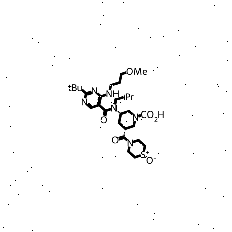 COCCCNc1nc(C(C)(C)C)ncc1C(=O)N(CC(C)C)[C@H]1C[C@@H](C(=O)N2CC[S+]([O-])CC2)CN(C(=O)O)C1